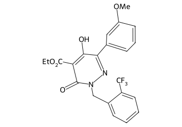 CCOC(=O)c1c(O)c(-c2cccc(OC)c2)nn(Cc2ccccc2C(F)(F)F)c1=O